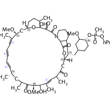 CCCOP(C)(=O)O[C@@H]1CCC(C[C@H]2C3CCCN4C(=O)C(=O)C5(O)O[C@@H](CCC5C)C[C@H](OC)/C(C)=C/C=C/C=C/[C@@H](C)CC(C)C(=O)[C@H](OC)C(O)/C(C)=C/C(C)C(=O)C[C@@H]2OC(=O)C34)CC1OC